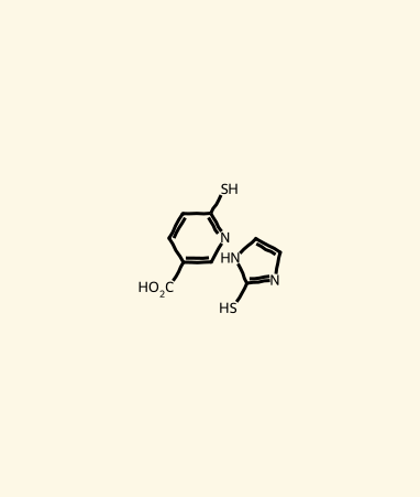 O=C(O)c1ccc(S)nc1.Sc1ncc[nH]1